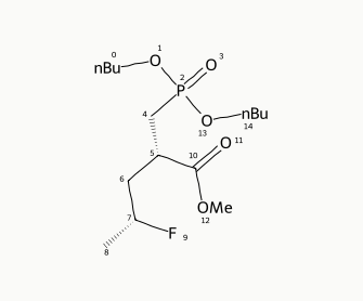 CCCCOP(=O)(C[C@@H](C[C@@H](C)F)C(=O)OC)OCCCC